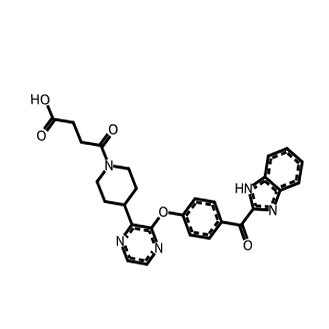 O=C(O)CCC(=O)N1CCC(c2nccnc2Oc2ccc(C(=O)c3nc4ccccc4[nH]3)cc2)CC1